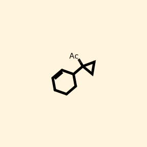 CC(=O)C1(C2C=CCCC2)CC1